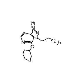 O=C(O)CCc1n[nH]c2ccnc(OC3CCCCC3)c12